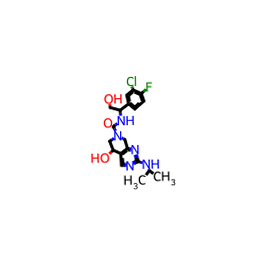 CC(C)Nc1ncc2c(n1)CN(C(=O)NC(CO)c1ccc(F)c(Cl)c1)CC2O